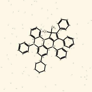 CC1(C)C2=C(C(c3ccccc3)=C1c1ccccc1)N(c1ccccc1)c1cc(C3CCCCC3)cc3c1B2c1ccccc1N3c1ccccc1